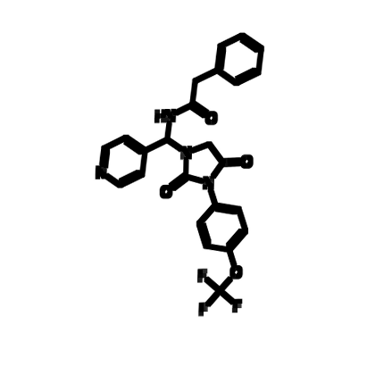 O=C(Cc1ccccc1)NC(c1ccncc1)N1CC(=O)N(c2ccc(OC(F)(F)F)cc2)C1=O